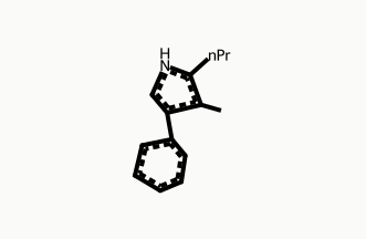 CCCc1[nH]cc(-c2ccccc2)c1C